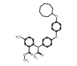 COC(=O)c1cc(C)ccc1N(C(C)=O)c1ccc(Oc2ccc(OC3CCCCCCC3)cc2)cc1